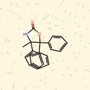 CC1(c2ccccc2)NC(=O)OC1(c1ccccc1)c1ccccc1